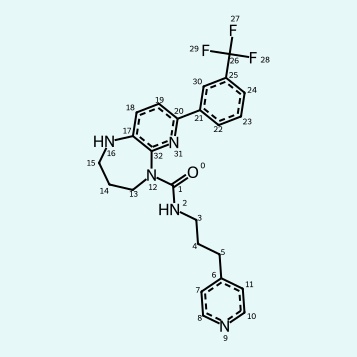 O=C(NCCCc1ccncc1)N1CCCNc2ccc(-c3cccc(C(F)(F)F)c3)nc21